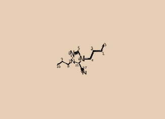 CCCCN1C=NN(CCC)C1C#N